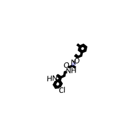 C=C(Cc1cccc(C)c1)O/N=C(\C)C(=O)NCCc1c[nH]c2ccc(Cl)cc12